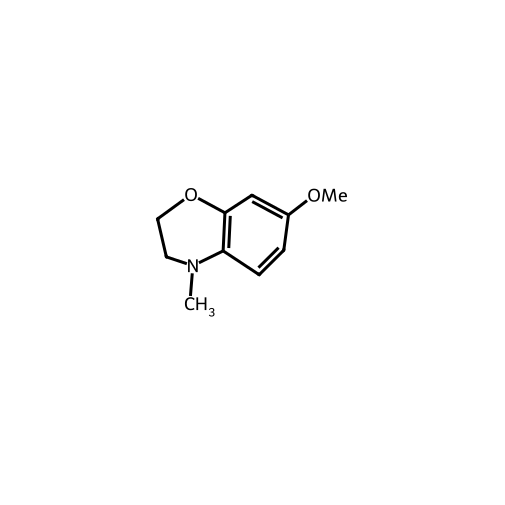 COc1ccc2c(c1)OCCN2C